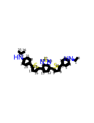 CCNc1ccc(-c2ccc(-c3ccc(-c4ccc(-c5ccc(NC(C)C)cc5)s4)c4nsnc34)s2)cc1